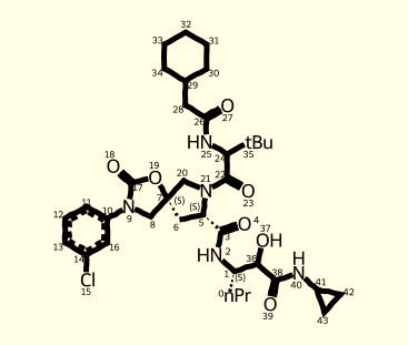 CCC[C@H](NC(=O)[C@@H]1C[C@@]2(CN(c3cccc(Cl)c3)C(=O)O2)CN1C(=O)C(NC(=O)CC1CCCCC1)C(C)(C)C)C(O)C(=O)NC1CC1